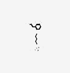 CC(=O)C(=Cc1cc([N+](=O)[O-])ccc1SCCCCCO[Si](C)(C)C(C)(C)C)C(=O)O